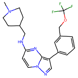 CN1CCC(CNc2ccn3ncc(-c4cccc(COC(F)(F)F)c4)c3n2)CC1